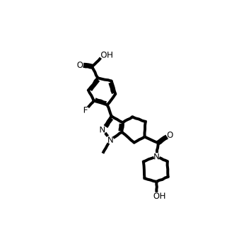 Cn1nc(-c2ccc(C(=O)O)cc2F)c2c1CC(C(=O)N1CCC(O)CC1)CC2